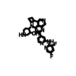 OC1CNCCC1Nc1nc(-c2ccnc(Nc3ncc(F)cc3F)c2)nc2cncc(C3CCC3)c12